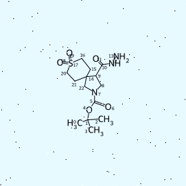 CC(C)(C)OC(=O)N1CC(C(=O)NN)C2(CCS(=O)(=O)CC2)C1